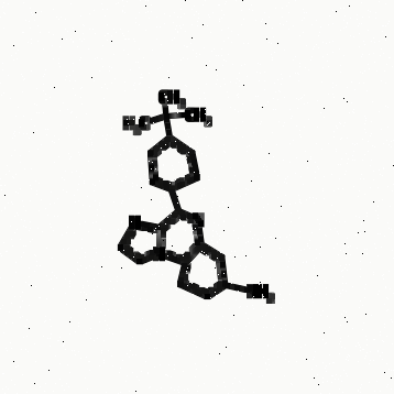 CC(C)(C)c1ccc(-c2nc3cc(N)ccc3n3ccnc23)cc1